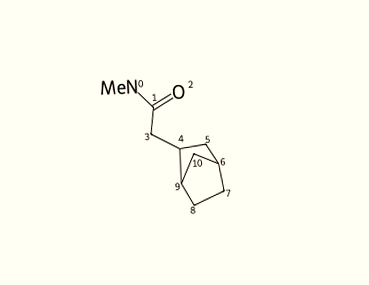 CNC(=O)CC1CC2CCC1C2